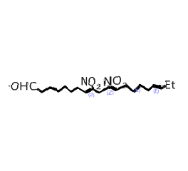 CC/C=C/C/C=C/C/C=C(/C/C(=C/CCCCCC[C]=O)[N+](=O)[O-])[N+](=O)[O-]